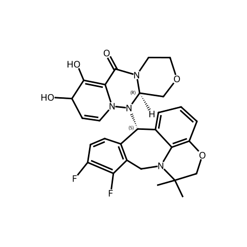 CC1(C)COc2cccc3c2N1Cc1c(ccc(F)c1F)[C@@H]3N1[C@@H]2COCCN2C(=O)C2=C(O)C(O)C=CN21